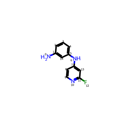 Nc1cccc(Nc2ccnc(F)c2)c1